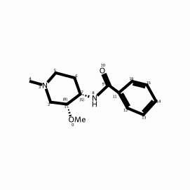 CO[C@@H]1CN(C)CC[C@@H]1NC(=O)c1ccccc1